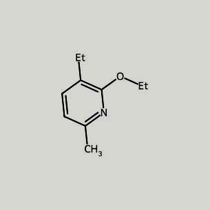 CCOc1nc(C)ccc1CC